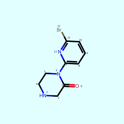 O=C1CNCCN1c1cccc(Br)n1